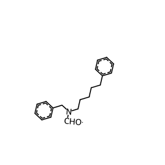 O=[C]N(CCCCCc1ccccc1)Cc1ccccc1